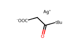 CC(C)(C)C(=O)CC(=O)[O-].[Ag+]